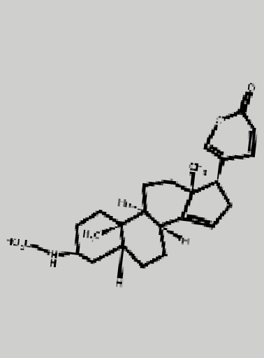 C[C@]12CC[C@H](NC(=O)O)C[C@H]1CC[C@H]1C3=CC[C@H](c4ccc(=O)oc4)[C@@]3(C)CC[C@@H]12